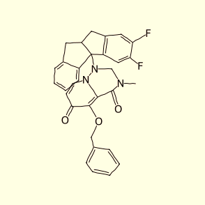 CN1CN(C23c4ccccc4CC2Cc2cc(F)c(F)cc23)n2ccc(=O)c(OCc3ccccc3)c2C1=O